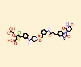 Cn1c(=O)n(C2CCC(=O)NC2=O)c2ccc(CCC(=O)Nc3cccc(CS(=O)(=O)N4CCC(Nc5cccc(-c6sc(C(=O)O)c(OCC(=O)O)c6Cl)c5)CC4)c3)cc21